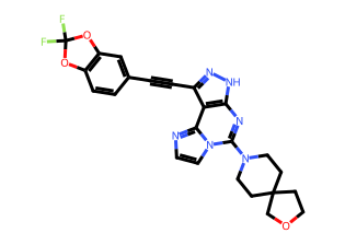 FC1(F)Oc2ccc(C#Cc3n[nH]c4nc(N5CCC6(CCOC6)CC5)n5ccnc5c34)cc2O1